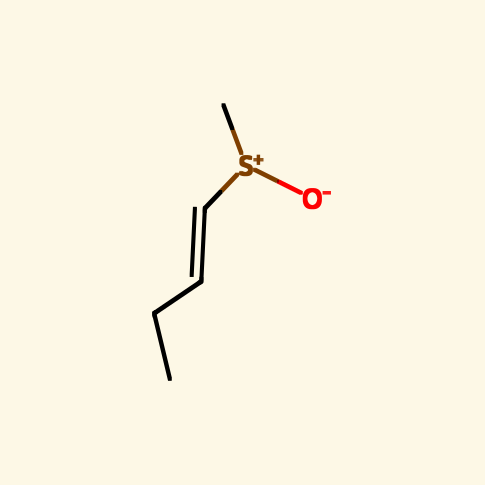 CCC=C[S+](C)[O-]